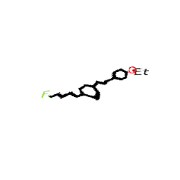 CCOC1CCC(CCC2CCC(/C=C/CCCF)CC2)CC1